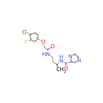 C=C(CCNC(=O)COc1ccc(Cl)c(F)c1)NC(=O)c1cnccn1